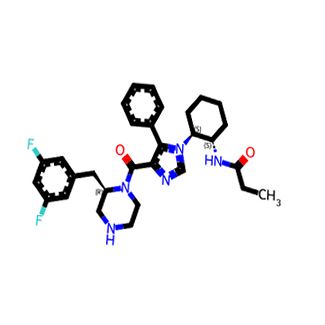 CCC(=O)N[C@H]1CCCC[C@@H]1n1cnc(C(=O)N2CCNC[C@H]2Cc2cc(F)cc(F)c2)c1-c1ccccc1